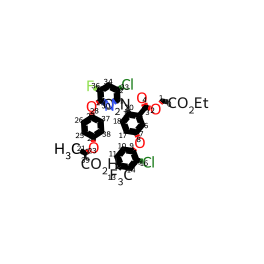 CCOC(=O)COC(=O)c1cc(Oc2ccc(C(F)(F)F)cc2Cl)ccc1[N+](=O)[O-].C[C@@H](Oc1ccc(Oc2ncc(Cl)cc2F)cc1)C(=O)O